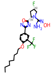 CCCCCCCCOc1ccc(-c2noc([C@@H]3C[C@H](F)CN3/C(N)=N/O)n2)cc1C(F)(F)F